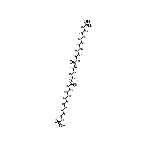 O=C(O)CCCCCCCCCCCCC(=O)OCCCCOC(=O)CCCCCCCCCCCCC(=O)O